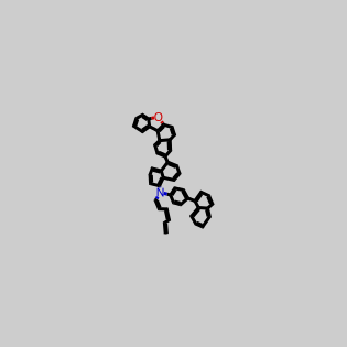 C=C/C=C\C=C/N(c1ccc(-c2cccc3ccccc23)cc1)c1cccc2c(-c3ccc4c(ccc5oc6ccccc6c54)c3)cccc12